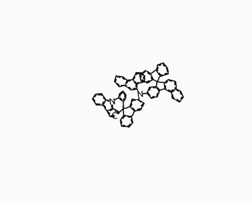 c1ccc2c(c1)-c1ccccc1C21c2cc(N(c3ccc4c(c3)C3(c5ccccc5-4)c4ccccc4-n4c5ccccc5c5cccc3c54)c3cc4ccccc4c4ccccc34)ccc2-c2c1ccc1ccccc21